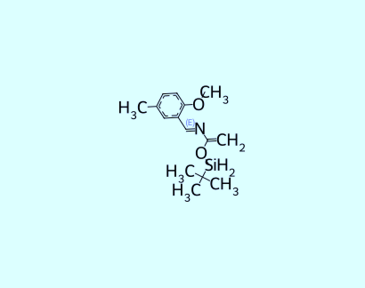 C=C(/N=C/c1cc(C)ccc1OC)O[SiH2]C(C)(C)C